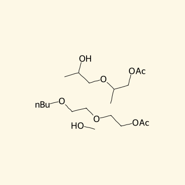 CC(=O)OCC(C)OCC(C)O.CCCCOCCOCCOC(C)=O.CO